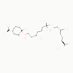 C=C(C)[C@H]1CCC(C)(OCCC(C)CCCC(C)(C)OCCC(C)CCC=C(C)C)C(O)C1